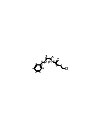 C[C@@H](NC(=O)CCCCl)C(=O)NCc1ccccc1